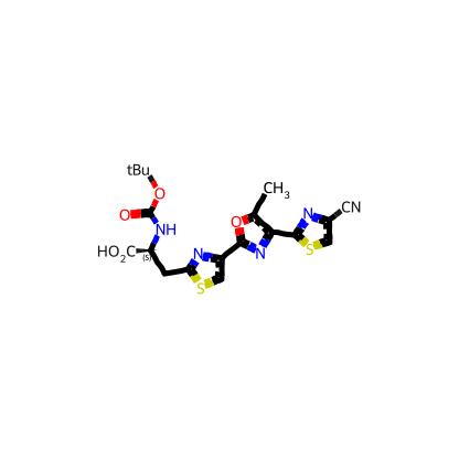 Cc1oc(-c2csc(C[C@H](NC(=O)OC(C)(C)C)C(=O)O)n2)nc1-c1nc(C#N)cs1